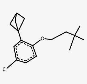 CC(C)(C)CCOc1ccc(Cl)cc1C12CC(C1)C2